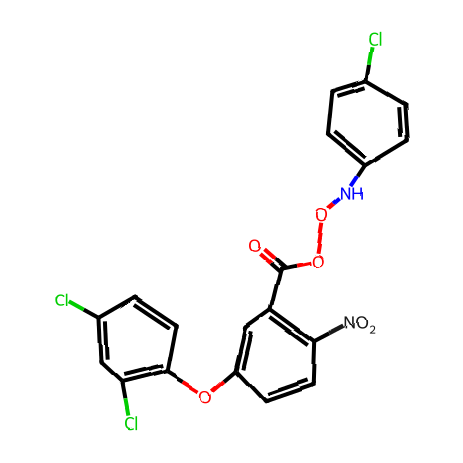 O=C(OONc1ccc(Cl)cc1)c1cc(Oc2ccc(Cl)cc2Cl)ccc1[N+](=O)[O-]